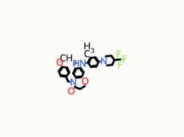 COc1ccc(CN2C(=O)CCOc3cc(Nc4ccc(N5CCC(C(F)(F)F)CC5)cc4C)ccc32)cc1